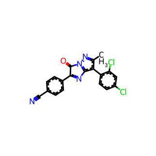 Cc1nn2c(c1-c1ccc(Cl)cc1Cl)N=C(c1ccc(C#N)cc1)C2=O